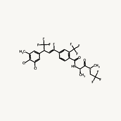 Cc1cc(C(/C=C(\F)c2ccc(C(=O)N[C@H](C)C(=O)N(C)CC(F)(F)F)c(C(F)(F)F)c2)C(F)(F)F)cc(Cl)c1Cl